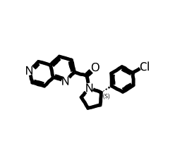 O=C(c1ccc2cnccc2n1)N1CCC[C@H]1c1ccc(Cl)cc1